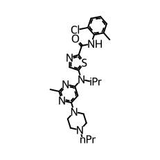 CCCN1CCN(c2cc(N(c3cnc(C(=O)Nc4c(C)cccc4Cl)s3)C(C)C)nc(C)n2)CC1